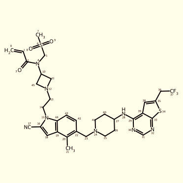 C=CC(=O)N(CS(C)(=O)=O)C1CN(CCn2c(C#N)cc3c(C)c(CN4CCC(Nc5ncnc6sc(CC(F)(F)F)cc56)CC4)ccc32)C1